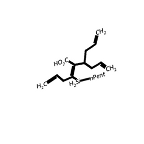 C=CCC([SiH2]CCCCC)=C(C(=O)O)C(CC=C)CC=C